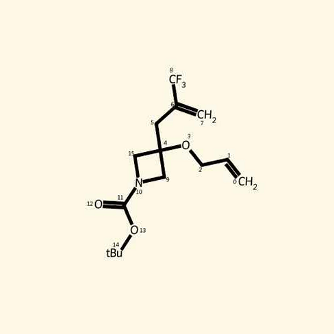 C=CCOC1(CC(=C)C(F)(F)F)CN(C(=O)OC(C)(C)C)C1